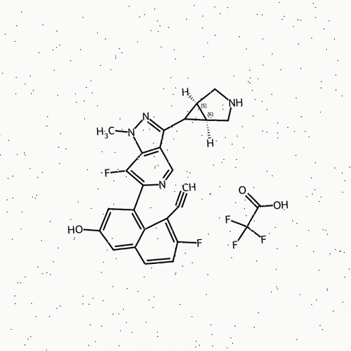 C#Cc1c(F)ccc2cc(O)cc(-c3ncc4c(C5[C@H]6CNC[C@@H]56)nn(C)c4c3F)c12.O=C(O)C(F)(F)F